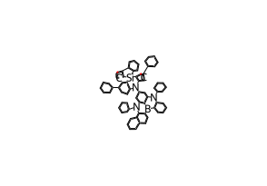 c1ccc(-c2ccc3c(c2)[Si]2(c4ccccc4-c4ccccc42)c2cc(-c4ccccc4)ccc2N3c2cc3c4c(c2)N(c2ccccc2)c2c(ccc5ccccc25)B4c2ccccc2N3c2ccccc2)cc1